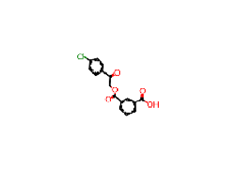 O=C(O)c1cccc(C(=O)OCC(=O)c2ccc(Cl)cc2)c1